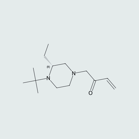 C=CC(=O)CN1CCN(C(C)(C)C)[C@H](CC)C1